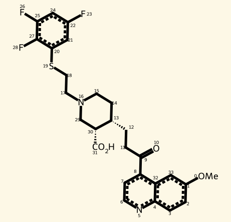 COc1ccc2nccc(C(=O)CC[C@H]3CCN(CCSc4cc(F)cc(F)c4F)C[C@H]3C(=O)O)c2c1